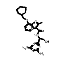 Cc1nc2c(OCC3CCCCC3)cccn2c1C(=O)NC(CO)c1nc(N)nc(N)n1